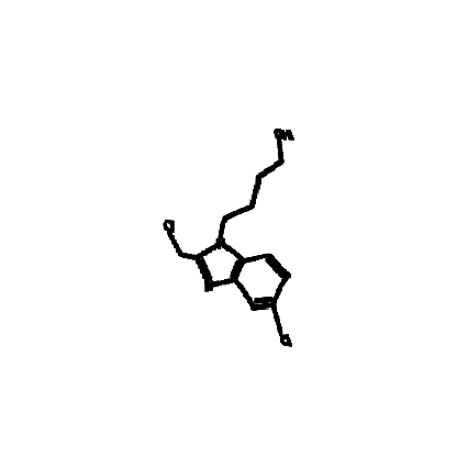 OCCCCn1c(CCl)nc2cc(Cl)ccc21